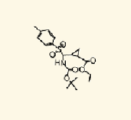 CCOC(=O)C1CC1C(NC(=O)OC(C)(C)C)S(=O)(=O)c1ccc(C)cc1